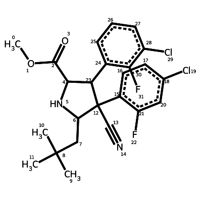 COC(=O)C1NC(CC(C)(C)C)C(C#N)(c2ccc(Cl)cc2F)C1c1cccc(Cl)c1F